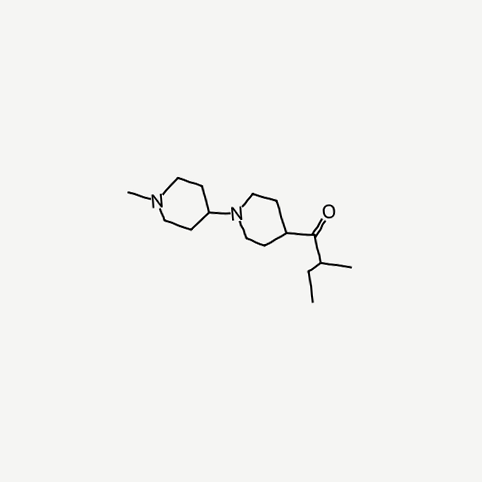 CCC(C)C(=O)C1CCN(C2CCN(C)CC2)CC1